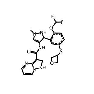 CN1C=C(NC(=O)C2=C3N=CC=CN3NC2)C(c2cc(SC3COC3)ccc2OC(F)F)N1